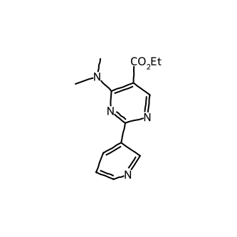 CCOC(=O)c1cnc(-c2cccnc2)nc1N(C)C